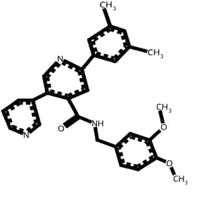 COc1ccc(CNC(=O)c2cc(-c3cc(C)cc(C)c3)ncc2-c2cccnc2)cc1OC